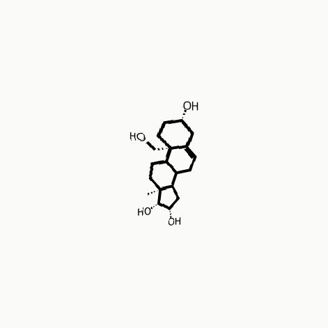 C[C@]12CCC3C(CC=C4C[C@@H](O)CC[C@@]43CO)C1C[C@H](O)[C@@H]2O